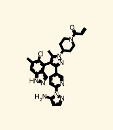 C=CC(=O)N1CCC(n2nc(-c3ccc(-n4nccc4N)nc3)c(-c3c(Cl)c(C)cc4[nH]ncc34)c2C)CC1